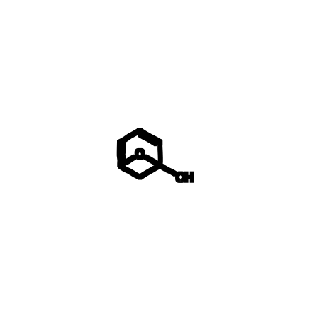 OC12C=CC=C(C1)O2